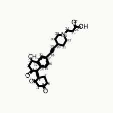 CC1CC(=O)/C(=C2/CCC(=O)CC2=O)c2ccc(C#CC3CCN(CCC(=O)O)CC3)cc21